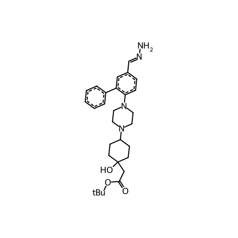 CC(C)(C)OC(=O)CC1(O)CCC(N2CCN(c3ccc(C=NN)cc3-c3ccccc3)CC2)CC1